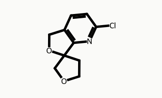 Clc1ccc2c(n1)C1(CCOC1)OC2